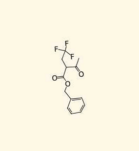 CC(=O)C(CC(F)(F)F)C(=O)OCc1ccccc1